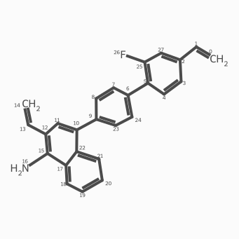 C=Cc1ccc(-c2ccc(-c3cc(C=C)c(N)c4ccccc34)cc2)c(F)c1